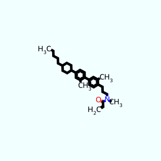 C=CC(=O)N(C)CCCc1ccc(-c2ccc(C3CCC(CCCCC)CC3)cc2C)cc1C